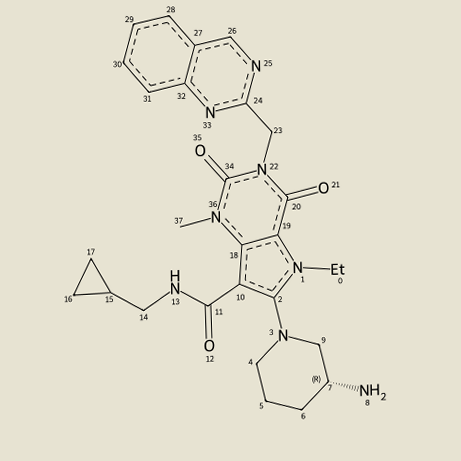 CCn1c(N2CCC[C@@H](N)C2)c(C(=O)NCC2CC2)c2c1c(=O)n(Cc1ncc3ccccc3n1)c(=O)n2C